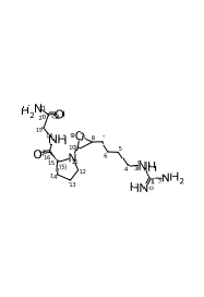 N=C(N)NCCCCC1OC1N1CCC[C@H]1C(=O)NCC(N)=O